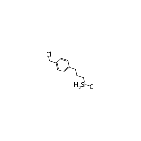 ClCc1ccc(CCC[SiH2]Cl)cc1